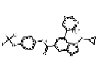 C[C@H](C1CC1)n1cnc2cc(C(=O)Nc3ccc(OC(F)(F)Cl)cc3)cc(-c3cncnc3)c21